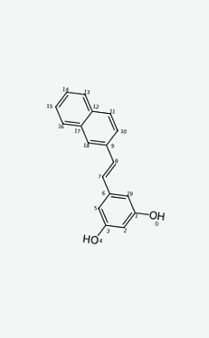 Oc1cc(O)cc(C=Cc2ccc3ccccc3c2)c1